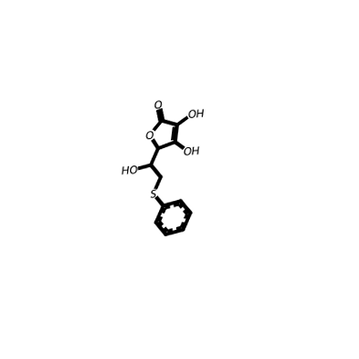 O=C1OC(C(O)CSc2ccccc2)C(O)=C1O